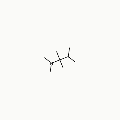 C[C](C)C(C)(C)N(C)C